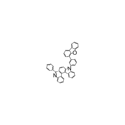 c1ccc(-c2nc3ccccc3c3c2ccc2c3c3ccccc3n2-c2cccc(-c3cccc4c3oc3ccccc34)c2)cc1